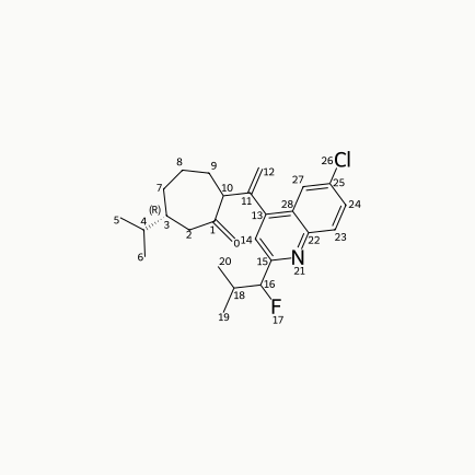 C=C1C[C@H](C(C)C)CCCC1C(=C)c1cc(C(F)C(C)C)nc2ccc(Cl)cc12